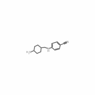 N#Cc1ccc(NCC2CCC(N)CC2)cc1